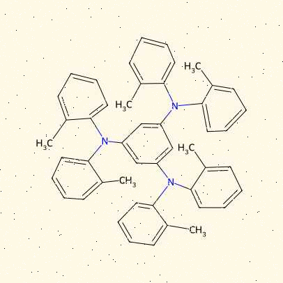 Cc1ccccc1N(c1cc(N(c2ccccc2C)c2ccccc2C)cc(N(c2ccccc2C)c2ccccc2C)c1)c1ccccc1C